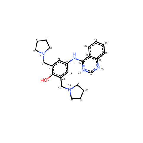 Oc1c(CN2CCCC2)cc(Nc2ncnc3ccccc23)cc1CN1CCCC1